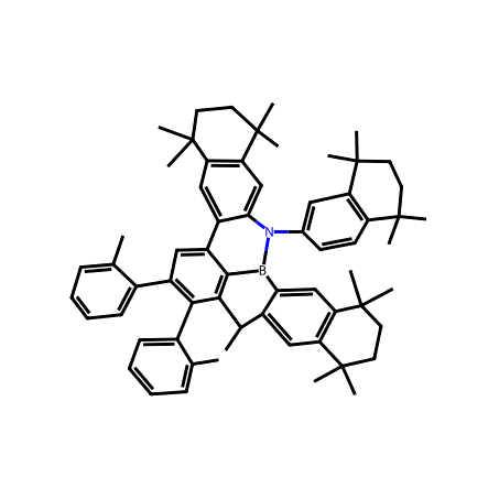 Cc1ccccc1-c1cc2c3c(c1-c1ccccc1C)C(C)c1cc4c(cc1B3N(c1ccc3c(c1)C(C)(C)CCC3(C)C)c1cc3c(cc1-2)C(C)(C)CCC3(C)C)C(C)(C)CCC4(C)C